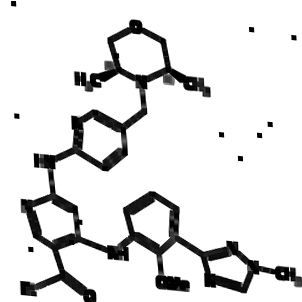 CCC(=O)c1cnc(Nc2ccc(CN3[C@H](C)COC[C@@H]3C)cn2)cc1Nc1cccc(-c2ncn(C)n2)c1OC